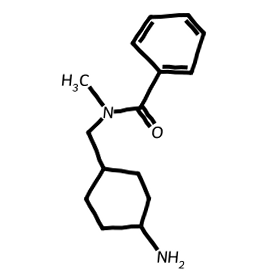 CN(CC1CCC(N)CC1)C(=O)c1ccccc1